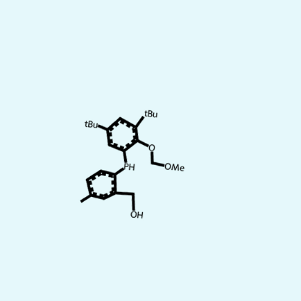 COCOc1c(Pc2ccc(C)cc2CO)cc(C(C)(C)C)cc1C(C)(C)C